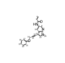 C=CC(=O)Nc1cnc2c(c1)c(C#CCOc1ccccc1)cn2C